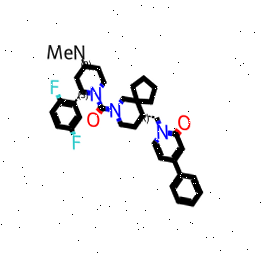 CN[C@@H]1CCN(C(=O)N2CC[C@@H](Cn3ccc(-c4ccccc4)cc3=O)C3(CCCC3)C2)[C@H](c2cc(F)ccc2F)C1